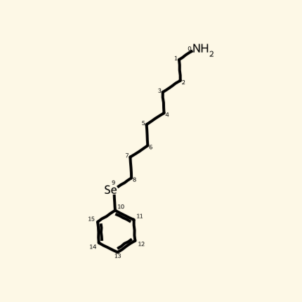 NCCCCCCCC[Se]c1ccccc1